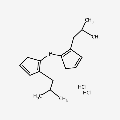 CC(C)CC1=[C]([Hf][C]2=C(CC(C)C)C=CC2)CC=C1.Cl.Cl